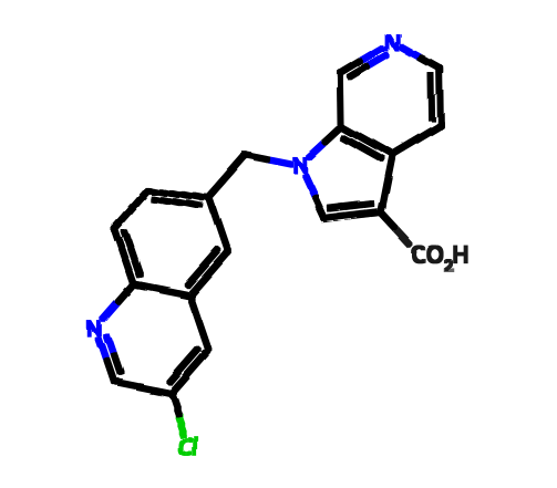 O=C(O)c1cn(Cc2ccc3ncc(Cl)cc3c2)c2cnccc12